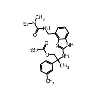 CCN(C)C(=O)NCc1cccc2[nH]c(NC(C)(COC(=O)C(C)(C)C)c3cccc(C(F)(F)F)c3)nc12